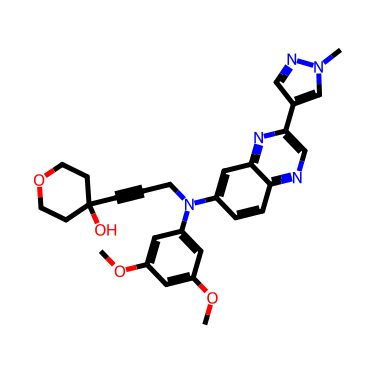 COc1cc(OC)cc(N(CC#CC2(O)CCOCC2)c2ccc3ncc(-c4cnn(C)c4)nc3c2)c1